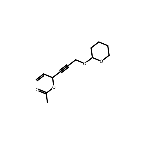 C=CC(C#CCOC1CCCCO1)OC(C)=O